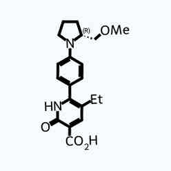 CCc1cc(C(=O)O)c(=O)[nH]c1-c1ccc(N2CCC[C@@H]2COC)cc1